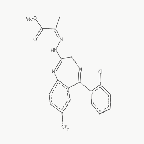 COC(=O)C(C)=NNC1=Nc2ccc(C(F)(F)F)cc2C(c2ccccc2Cl)=NC1